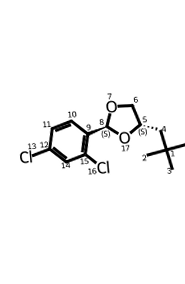 CC(C)(C)C[C@H]1CO[C@H](c2ccc(Cl)cc2Cl)O1